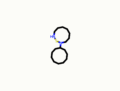 C1CCCCC(N2CCCCCCCNS2)CCCC1